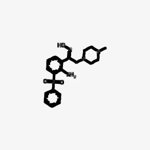 CN1CCN(CC(=NO)c2cccc(S(=O)(=O)c3ccccc3)c2N)CC1